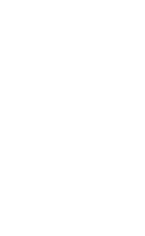 CC=C(C)C(c1ccccc1)c1ccccc1